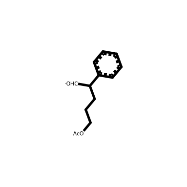 CC(=O)OCCCC([C]=O)c1ccccc1